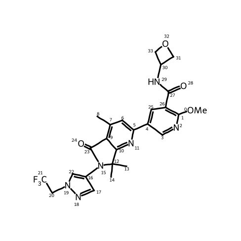 COc1ncc(-c2cc(C)c3c(n2)C(C)(C)N(c2cnn(CC(F)(F)F)c2)C3=O)cc1C(=O)NC1COC1